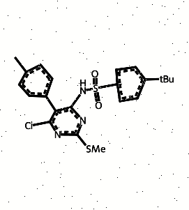 CSc1nc(Cl)c(-c2ccc(C)cc2)c(NS(=O)(=O)c2ccc(C(C)(C)C)cc2)n1